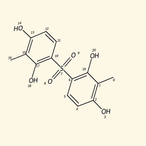 Cc1c(O)ccc(S(=O)(=O)c2ccc(O)c(C)c2O)c1O